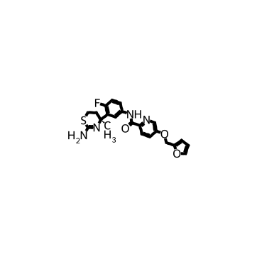 C[C@@]1(c2cc(NC(=O)c3ccc(OCc4ccco4)cn3)ccc2F)CCSC(N)=N1